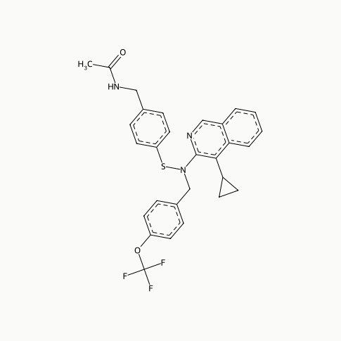 CC(=O)NCc1ccc(SN(Cc2ccc(OC(F)(F)F)cc2)c2ncc3ccccc3c2C2CC2)cc1